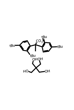 CC(C)(C)c1ccc(C(C)(C(=O)O)c2ccc(C(C)(C)C)cc2C(C)(C)C)c(C(C)(C)C)c1.OCC(CO)(CO)CO